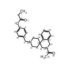 CCC(=O)Oc1ccc(CN2CCC3(CC2)CN(C(C)=O)Cc2ccccc23)cc1